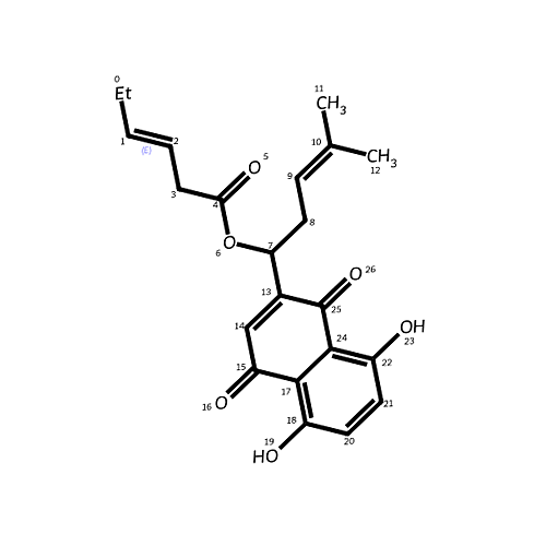 CC/C=C/CC(=O)OC(CC=C(C)C)C1=CC(=O)c2c(O)ccc(O)c2C1=O